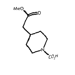 COC(=O)CC1CCN(C(=O)O)CC1